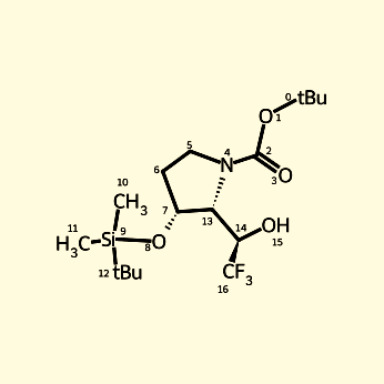 CC(C)(C)OC(=O)N1CC[C@@H](O[Si](C)(C)C(C)(C)C)[C@H]1[C@@H](O)C(F)(F)F